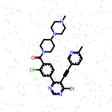 CCc1ncnc(-c2ccc(C(=O)N3CCC(N4CCN(C)CC4)CC3)c(Cl)c2)c1C#Cc1ccc(C)nc1